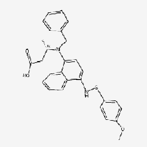 COc1ccc(SNc2ccc(N(Cc3ccccc3)[C@@H](C)CC(=O)O)c3ccccc23)cc1